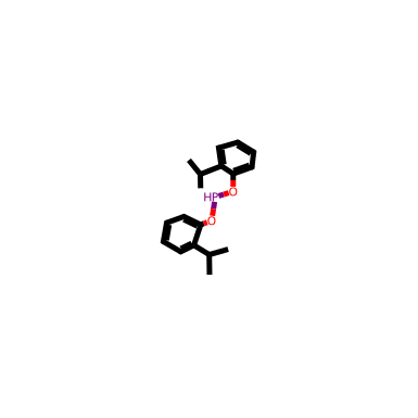 CC(C)c1ccccc1OPOc1ccccc1C(C)C